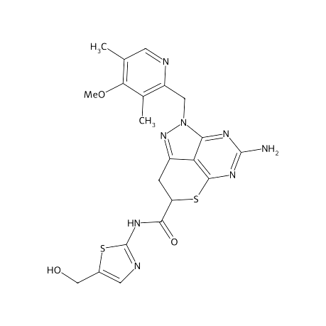 COc1c(C)cnc(Cn2nc3c4c(nc(N)nc42)SC(C(=O)Nc2ncc(CO)s2)C3)c1C